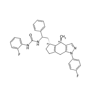 C[C@@H]1C2=C(CC[C@@H]2CC(NC(=O)Nc2ccccc2F)c2ccccc2)Cc2c1cnn2-c1ccc(F)cc1